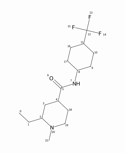 CCC1CC(C(=O)NC2CCC(C(F)(F)F)CC2)CCN1C